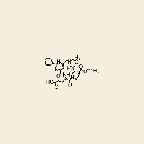 CCOC(=O)N1CCN(C(=O)C(CCC(=O)O)NC(=O)c2cc(CN(CC)CC)nc(-c3ccccc3)n2)CC1